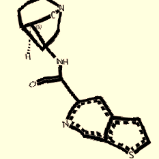 O=C(N[C@@H]1CN2CCC1CC2)c1cc2ccsc2cn1